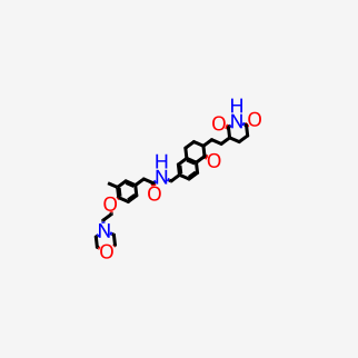 Cc1cc(CC(=O)NCc2ccc3c(c2)CCC(CCC2CCC(=O)NC2=O)C3=O)ccc1OCCN1CCOCC1